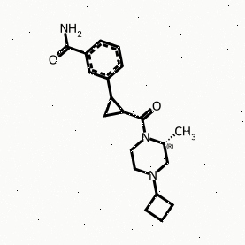 C[C@@H]1CN(C2CCC2)CCN1C(=O)C1CC1c1cccc(C(N)=O)c1